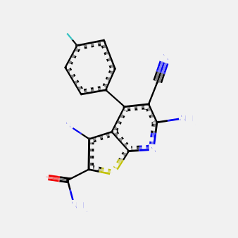 N#Cc1c(N)nc2sc(C(N)=O)c(N)c2c1-c1ccc(F)cc1